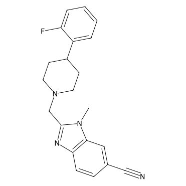 Cn1c(CN2CCC(c3ccccc3F)CC2)nc2ccc(C#N)cc21